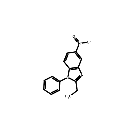 CCc1nc2cc([N+](=O)[O-])ccc2n1-c1c[c]ccc1